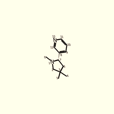 CN1CC(C)(C)C[C@H]1c1cccnc1